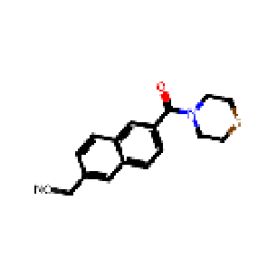 N#CCc1ccc2cc(C(=O)N3CCSCC3)ccc2c1